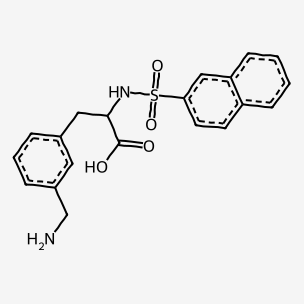 NCc1cccc(CC(NS(=O)(=O)c2ccc3ccccc3c2)C(=O)O)c1